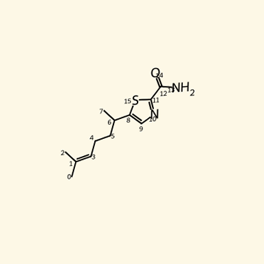 CC(C)=CCCC(C)c1cnc(C(N)=O)s1